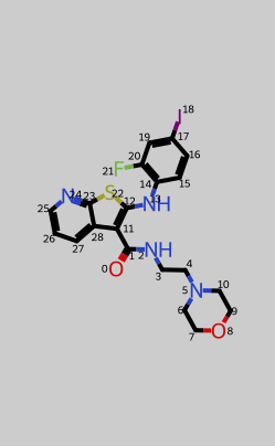 O=C(NCCN1CCOCC1)c1c(Nc2ccc(I)cc2F)sc2ncccc12